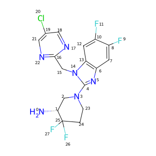 N[C@@H]1CN(c2nc3cc(F)c(F)cc3n2Cc2ncc(Cl)cn2)CCC1(F)F